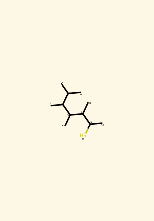 CC(C)C(C)C(C)C(C)C(C)S